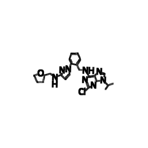 CC(C)n1cnc2c(NCc3ccccc3-n3ccc(NCC4CCCO4)n3)nc(Cl)nc21